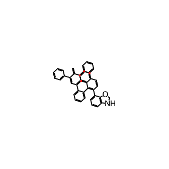 C=C1C(c2ccccc2)=CC(c2ccccc2-c2c(-c3cccc4c3OCN4)ccc3ccccc23)=CC1c1ccccc1